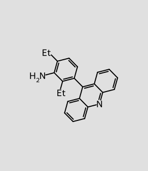 CCc1ccc(-c2c3ccccc3nc3ccccc23)c(CC)c1N